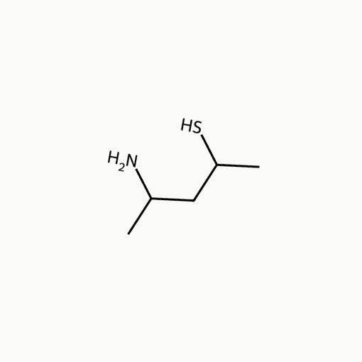 CC(N)CC(C)S